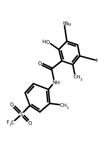 Cc1cc(S(=O)(=O)C(F)(F)F)ccc1NC(=O)c1c(C)c(F)cc(C(C)(C)C)c1O